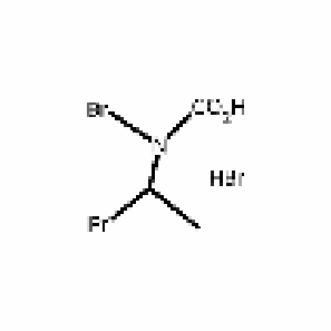 Br.CC(C)C(C)N(Br)C(=O)O